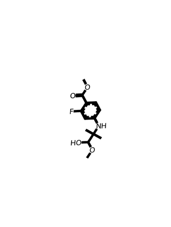 COC(=O)c1ccc(NC(C)(C)C(O)OC)cc1F